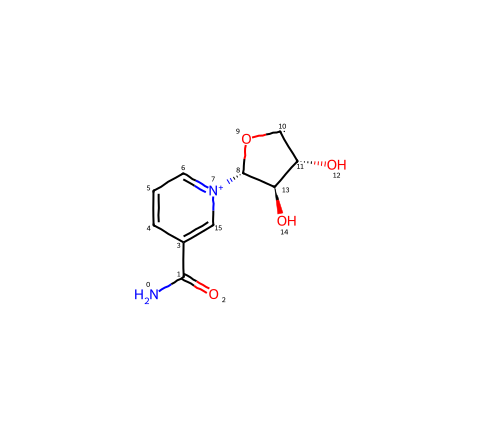 NC(=O)c1ccc[n+]([C@@H]2O[CH][C@H](O)[C@H]2O)c1